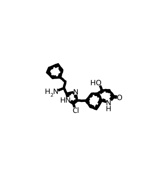 NC(Cc1ccccc1)c1nc(-c2ccc3[nH]c(=O)cc(O)c3c2)c(Cl)[nH]1